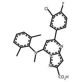 Cc1cccc(C)c1N(C)c1cc(-c2ccc(F)c(Cl)c2)nc2cc(C(=O)O)nn12